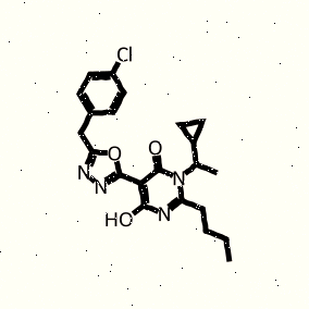 CCCCc1nc(O)c(-c2nnc(Cc3ccc(Cl)cc3)o2)c(=O)n1C(C)C1CC1